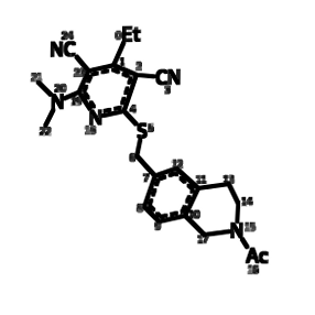 CCc1c(C#N)c(SCc2ccc3c(c2)CCN(C(C)=O)C3)nc(N(C)C)c1C#N